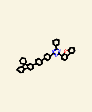 c1ccc(-c2nc(-c3ccc(-c4ccc(-c5ccc6c(c5)C5(CCCCC5)c5ccccc5-6)cc4)cc3)nc(-c3cccc4c3oc3ccccc34)n2)cc1